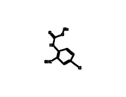 CC(C)(C)OC(=O)Nc1ccc(Cl)cc1C=O